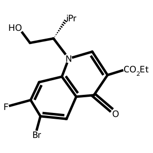 CCOC(=O)c1cn([C@H](CO)C(C)C)c2cc(F)c(Br)cc2c1=O